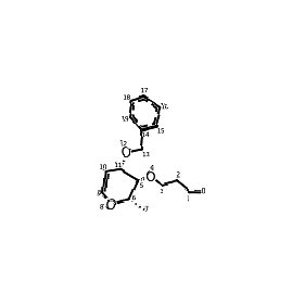 CCCCO[C@@H]1[C@H](C)OC=C[C@@H]1OCc1ccccc1